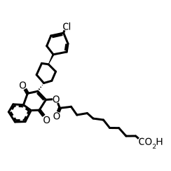 O=C(O)CCCCCCCCCC(=O)OC1=C([C@H]2CC[C@H](C3C=CC(Cl)=CC3)CC2)C(=O)c2ccccc2C1=O